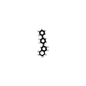 [c]1c(-c2ccc(-c3ccccc3)cc2)ccc2c1CCCC2